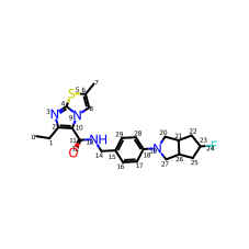 CCc1nc2sc(C)cn2c1C(=O)NCc1ccc(N2CC3CC(F)CC3C2)cc1